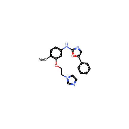 COc1ccc(Nc2ncc(-c3ccccc3)o2)cc1OCCn1ccnc1